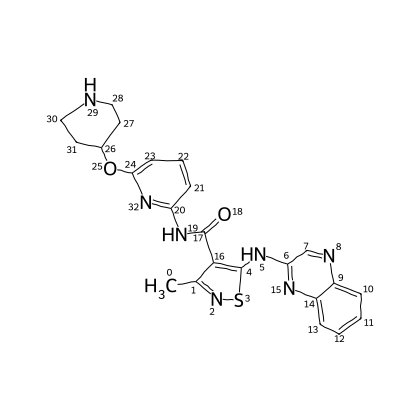 Cc1nsc(Nc2cnc3ccccc3n2)c1C(=O)Nc1cccc(OC2CCNCC2)n1